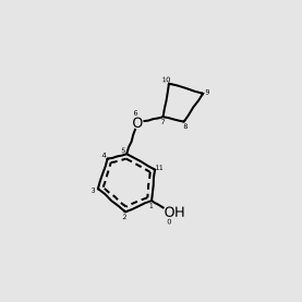 Oc1cccc(OC2CCC2)c1